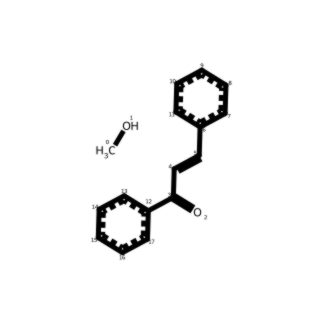 CO.O=C(/C=C/c1ccccc1)c1ccccc1